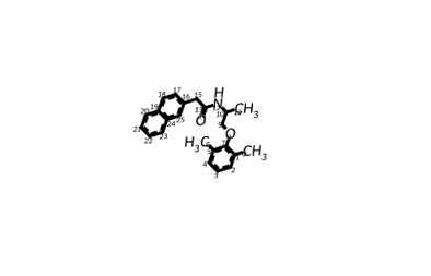 Cc1cccc(C)c1OCC(C)NC(=O)Cc1ccc2ccccc2c1